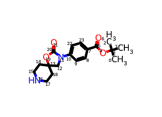 CC(C)(C)OC(=O)c1ccc(N2CC3(CCNCC3)OC2=O)cc1